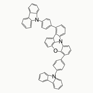 c1cc(-c2ccc(-n3c4ccccc4c4ccccc43)cc2)c2c(c1)-n1c3cccc(-c4ccc(-n5c6ccccc6c6ccccc65)cc4)c3c3cccc(c31)O2